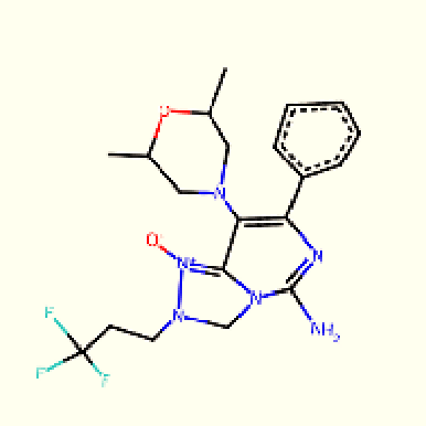 CC1CN(C2=C(c3ccccc3)N=C(N)N3CN(CCC(F)(F)F)[N+]([O-])=C23)CC(C)O1